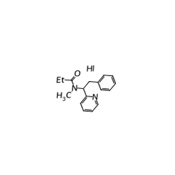 CCC(=O)N(C)C(Cc1ccccc1)c1ccccn1.I